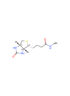 CCCNC(=O)CCC[C@H]1SC[C@H]2NC(=O)N[C@H]21